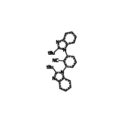 CC(C)(C)c1nc2ccccc2n1-c1cccc(-n2c(C(C)(C)C)nc3ccccc32)c1C#N